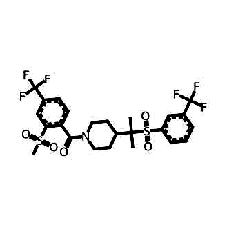 CC(C)(C1CCN(C(=O)c2ccc(C(F)(F)F)cc2S(C)(=O)=O)CC1)S(=O)(=O)c1cccc(C(F)(F)F)c1